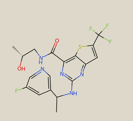 CC(Nc1nc(C(=O)NC[C@@H](C)O)c2sc(C(F)(F)F)cc2n1)c1cncc(F)c1